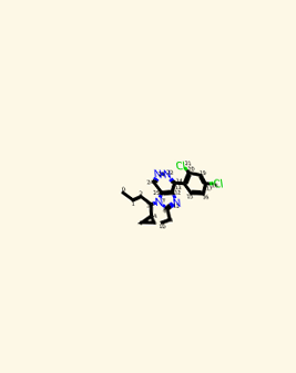 CCCC(C1CC1)n1c(CC)nc2c(-c3ccc(Cl)cc3Cl)nncc21